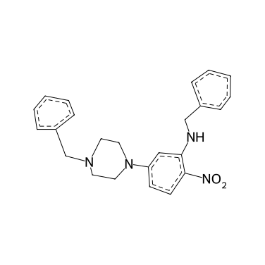 O=[N+]([O-])c1ccc(N2CCN(Cc3ccccc3)CC2)cc1NCc1ccccc1